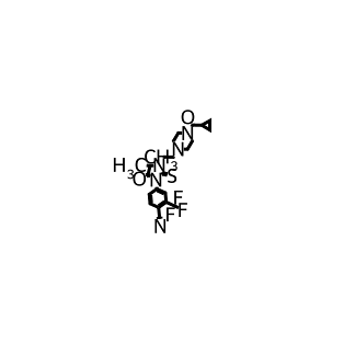 CC1(C)C(=O)N(c2ccc(C#N)c(C(F)(F)F)c2)C(=S)N1CCN1CCN(C(=O)C2CC2)CC1